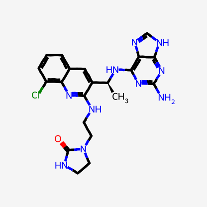 C[C@H](Nc1nc(N)nc2[nH]cnc12)c1cc2cccc(Cl)c2nc1NCCN1CCNC1=O